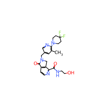 Cc1cc(CN2Cc3c(ccnc3C(=O)NCCO)C2=O)cnc1N1CCC(F)(F)CC1